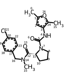 Cc1cc(NC(=O)N2CCC[C@@H]2C(=O)N(C)Cc2ccc(Cl)cc2)c(C)o1